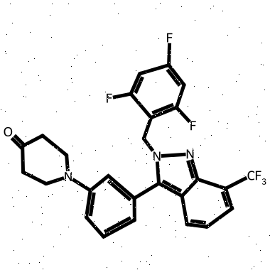 O=C1CCN(c2cccc(-c3c4cccc(C(F)(F)F)c4nn3Cc3c(F)cc(F)cc3F)c2)CC1